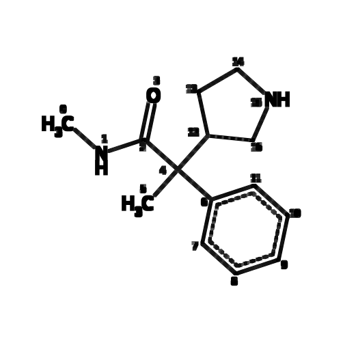 CNC(=O)C(C)(c1ccccc1)C1CCNC1